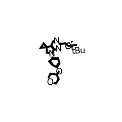 CC(C)(C)[Si](C)(C)OCc1ncc2c(n1)N(c1ccc(OC3CCOCC3)cc1)CC21CC1